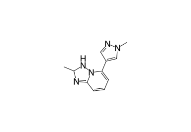 CC1N=C2C=CC=C(c3cnn(C)c3)N2N1